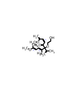 C=C(/C=C\C(=C)C(OCCO)(C(=C)C)/C(C)=C/C=C(\C)OC)OC